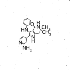 CC1(C)Cc2[nH]c(-c3ccnc(N)c3)c(Nc3ccccc3)c2C(=O)N1